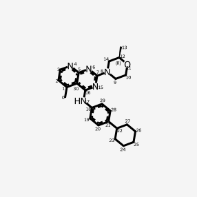 Cc1ccnc2nc(N3CCO[C@H](C)C3)nc(Nc3ccc(C4CCCCC4)cc3)c12